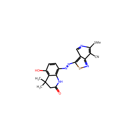 CSc1ncc2c(/N=N/c3ccc(O)c4c3NC(=O)CC4(C)C)snc2c1C#N